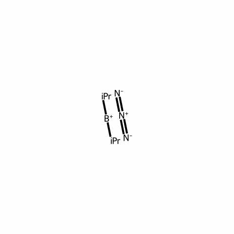 CC(C)[B+]C(C)C.[N-]=[N+]=[N-]